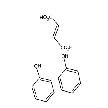 O=C(O)C=CC(=O)O.Oc1ccccc1.Oc1ccccc1